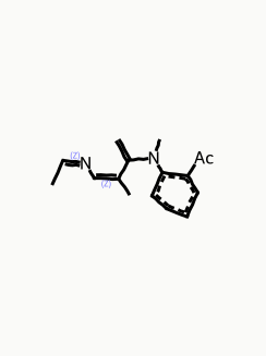 C=C(/C(C)=C\N=C/C)N(C)c1ccccc1C(C)=O